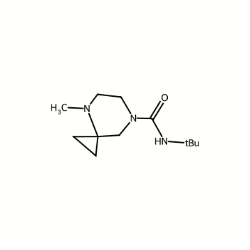 CN1CCN(C(=O)NC(C)(C)C)CC12CC2